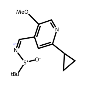 COc1cnc(C2CC2)cc1/C=N\[S+]([O-])C(C)(C)C